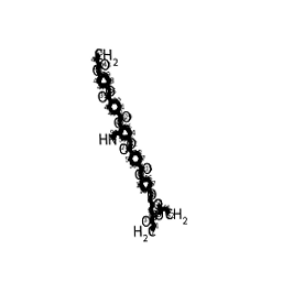 C=CC(=O)OCC(COc1ccc(OC(=O)C2CCC(C(=O)Oc3ccc(OC(=O)C4CCC(C(=O)Oc5ccc(OC(=O)C=C)cc5)CC4)c(C=N)c3)CC2)cc1)OC(=O)C=C